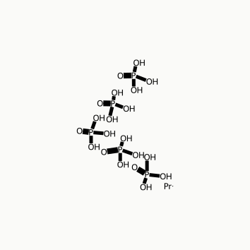 O=P(O)(O)O.O=P(O)(O)O.O=P(O)(O)O.O=P(O)(O)O.O=P(O)(O)O.[Pr]